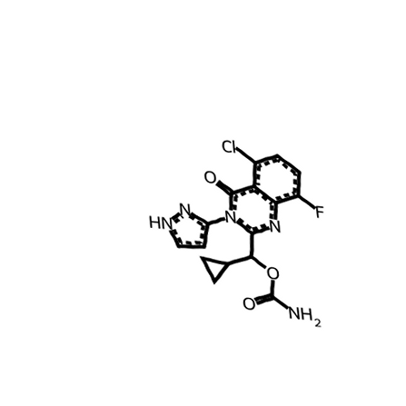 NC(=O)OC(c1nc2c(F)ccc(Cl)c2c(=O)n1-c1cc[nH]n1)C1CC1